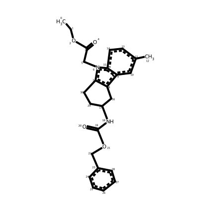 CCOC(=O)Cn1c2c(c3cc(C)ccc31)CC(NC(=O)OCc1ccccc1)CC2